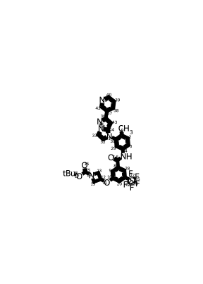 Cc1ccc(NC(=O)c2cc(OC3CN(C(=O)OC(C)(C)C)C3)cc(S(F)(F)(F)(F)F)c2)cc1-n1ccn2nc(-c3cccnc3)cc12